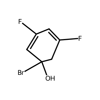 OC1(Br)C=C(F)C=C(F)C1